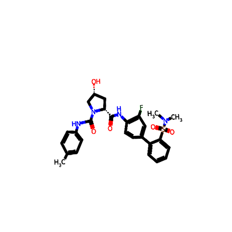 Cc1ccc(NC(=O)N2C[C@H](O)C[C@@H]2C(=O)Nc2ccc(-c3ccccc3S(=O)(=O)N(C)C)cc2F)cc1